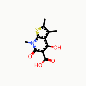 Cc1sc2c(c1C)c(O)c(C(=O)O)c(=O)n2C